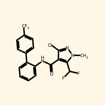 Cn1nc(Cl)c(C(=O)Nc2ccccc2-c2ccc(C(F)(F)F)cc2)c1C(F)F